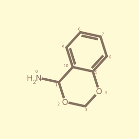 NC1OCOc2ccccc21